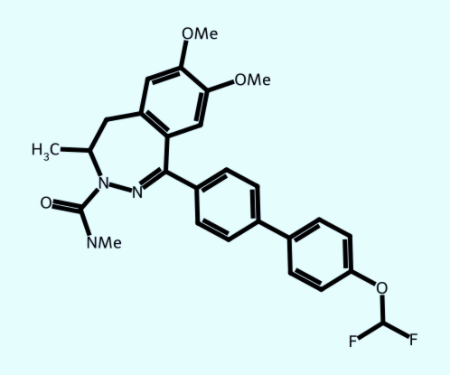 CNC(=O)N1N=C(c2ccc(-c3ccc(OC(F)F)cc3)cc2)c2cc(OC)c(OC)cc2CC1C